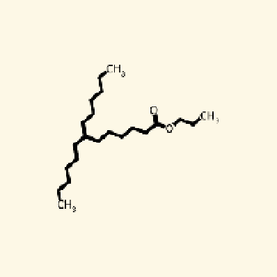 CCCCCCC(CCCCCC)CCCCCC(=O)OCCC